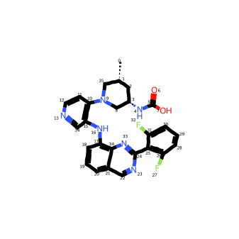 C[C@@H]1C[C@H](NC(=O)O)CN(c2ccncc2Nc2cccc3cnc(-c4c(F)cccc4F)nc23)C1